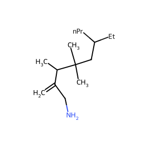 C=C(CN)C(C)C(C)(C)CC(CC)CCC